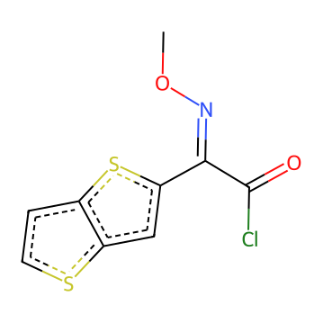 CO/N=C(/C(=O)Cl)c1cc2sccc2s1